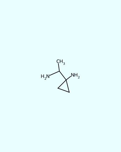 CC(N)C1(N)CC1